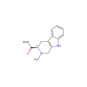 CNC(=O)[C@H]1Cc2c([nH]c3ccccc23)CN1C